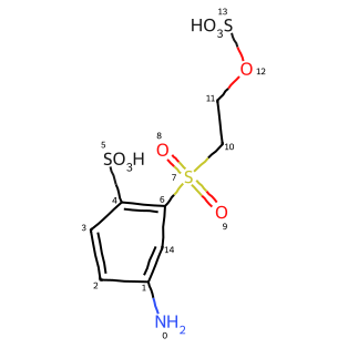 Nc1ccc(S(=O)(=O)O)c(S(=O)(=O)CCOS(=O)(=O)O)c1